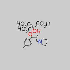 Cc1ccc(C(=O)C(C)CN2CCCCC2)cc1.O=C(O)CC(O)(CC(=O)O)C(=O)O